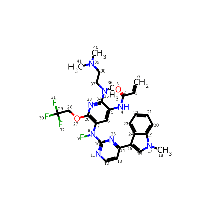 C=CC(=O)Nc1cc(N(F)c2nccc(-c3cn(C)c4ccccc34)n2)c(OCC(F)(F)F)nc1N(C)CCN(C)C